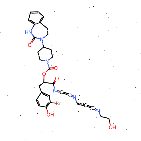 O=C(N=C=C=NC=C=C=NCCO)[C@@H](Cc1ccc(O)c(Br)c1)OC(=O)N1CCC(N2CCc3ccccc3NC2=O)CC1